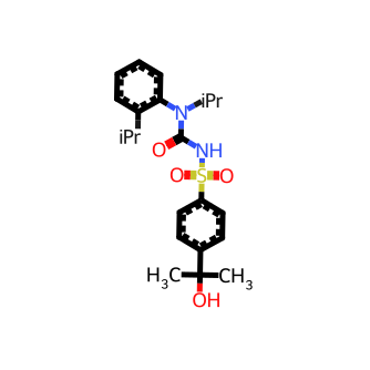 CC(C)c1ccccc1N(C(=O)NS(=O)(=O)c1ccc(C(C)(C)O)cc1)C(C)C